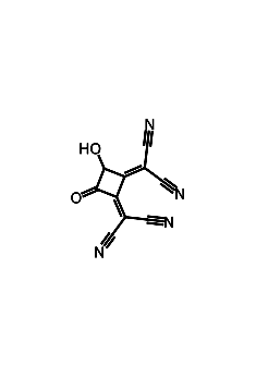 N#CC(C#N)=C1C(=O)C(O)C1=C(C#N)C#N